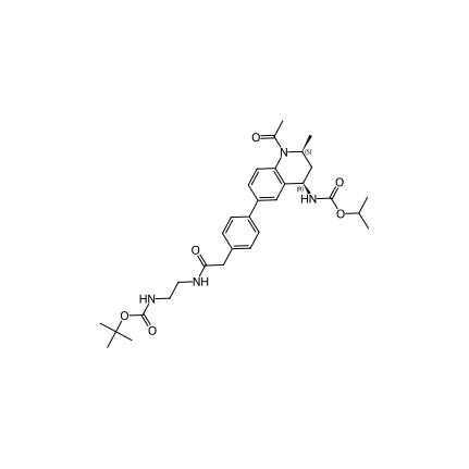 CC(=O)N1c2ccc(-c3ccc(CC(=O)NCCNC(=O)OC(C)(C)C)cc3)cc2[C@H](NC(=O)OC(C)C)C[C@@H]1C